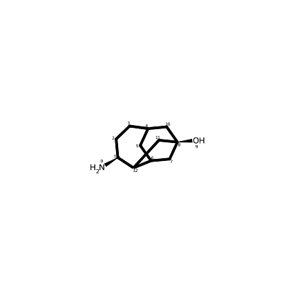 N[C@H]1CCC2CC3C[C@@](O)(C2)CC31